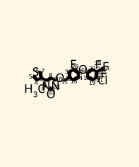 Cn1c(-c2ccsc2)cc(OCc2ccc(Oc3ccc(Cl)c(C(F)(F)F)c3)c(F)c2)nc1=O